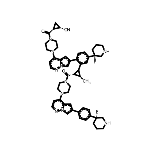 C[C@@H]1C(c2cc([C@]3(F)CCCNC3)ccc2-c2cc3c(N4CCN(C(=O)[C@H]5C[C@@H]5C#N)CC4)ccnn3c2)[C@H]1C(=O)N1CCN(c2ccnn3cc(-c4ccc([C@]5(F)CCCNC5)cc4)cc23)CC1